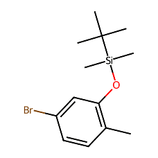 Cc1ccc(Br)cc1O[Si](C)(C)C(C)(C)C